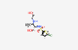 CC(NCCO)[C@@H](CO)NS(=O)(=O)c1ccc(Cl)s1